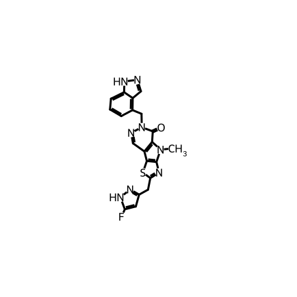 Cn1c2nc(Cc3cc(F)[nH]n3)sc2c2cnn(Cc3cccc4[nH]ncc34)c(=O)c21